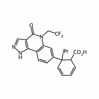 CC(C)C1(c2ccc3c4[nH]ncc4c(=O)n(CC(F)(F)F)c3c2)C=CC=CC1C(=O)O